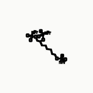 CCCS(=O)(=O)OCCCCCCC(COS(=O)(=O)CCC)OS(=O)(=O)CCC